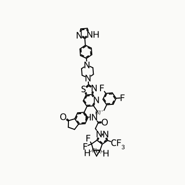 O=C(Cn1nc(C(F)(F)F)c2c1C(F)(F)[C@@H]1C[C@H]21)N[C@@H](Cc1cc(F)cc(F)c1)c1nc2nc(N3CCN(c4ccc(-c5ncc[nH]5)cc4)CC3)sc2cc1-c1ccc2c(c1)C(=O)CC2